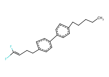 CCCCCc1ccc(-c2ccc(CCC=C(F)F)cc2)cc1